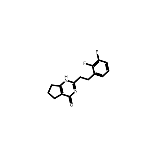 O=c1nc(CCc2cccc(F)c2F)[nH]c2c1CCC2